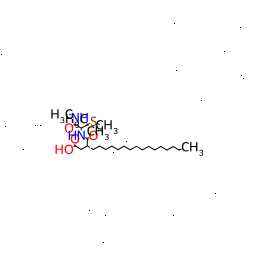 CCCCCCCCCCCCCCCCC(CC(=O)O)C(=O)N[C@@H](C(=O)NC)C(C)(C)SC